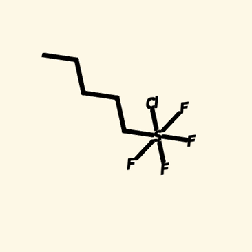 CCCCCS(F)(F)(F)(F)Cl